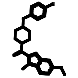 COc1ccc2c(c1)cc(C(=O)N1CCC(Oc3ccc(Cl)cc3)CC1)n2C